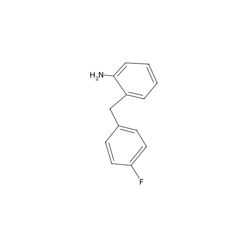 Nc1ccccc1Cc1ccc(F)cc1